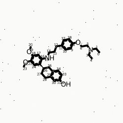 CCN(CC)CCOc1ccc(CCCNc2cc(OC)c(OC)cc2[C@@H]2CCc3cc(O)ccc3C2)cc1